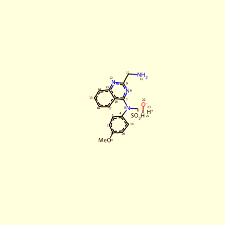 COc1ccc(N(C)c2nc(CN)nc3ccccc23)cc1.O=S(=O)([O-])O.[H+]